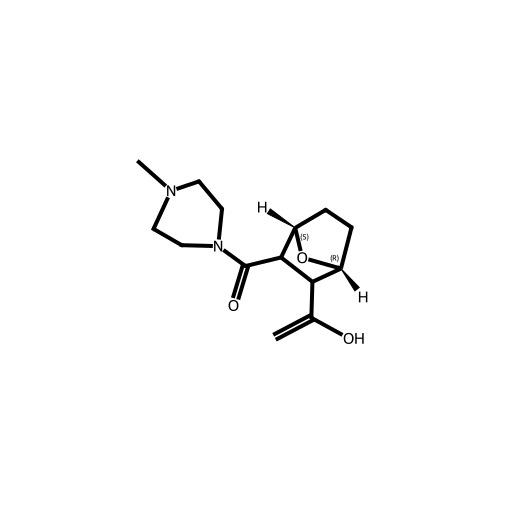 C=C(O)C1C(C(=O)N2CCN(C)CC2)[C@@H]2CC[C@H]1O2